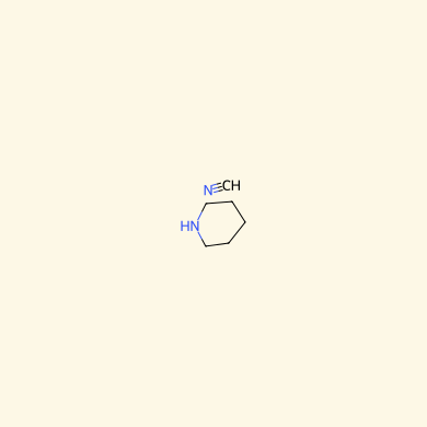 C#N.C1CCNCC1